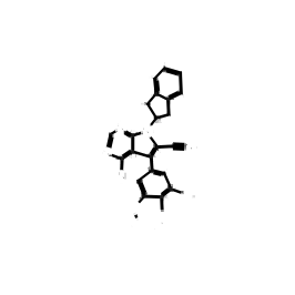 COc1cc(-c2c(C#N)n(C3Cc4ccccc4C3)c3ncnc(N)c23)cc(F)c1F